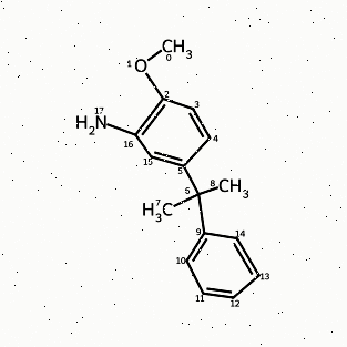 COc1ccc(C(C)(C)c2ccccc2)cc1N